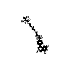 CC(O)C(O)C(=O)NCCOCCOCCNS(=O)(=O)c1ccc(C2CN(C)Cc3c(Cl)cc(Cl)cc32)cc1